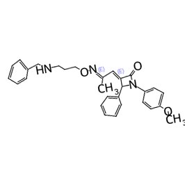 COc1ccc(N2C(=O)/C(=C/C(C)=N/OCCCNCc3ccccc3)C2c2ccccc2)cc1